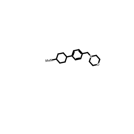 CNC1CCC(c2ccc(CN3CCOCC3)cc2)CC1